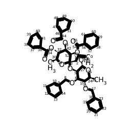 C=CC[C@@]1(O[C@@H]2[C@H](OCc3ccccc3)[C@@H](OCc3ccccc3)[C@H](C)O[C@H]2O)O[C@@H](C)[C@H](OC(=O)c2ccccc2)[C@@H](OC(=O)c2ccccc2)[C@H]1OC(=O)c1ccccc1